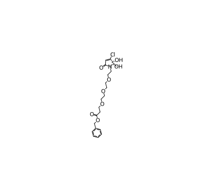 O=C(CCOCCOCCOCCN1C(=O)C=C(Cl)S1(O)O)OCc1ccccc1